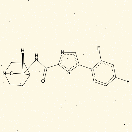 O=C(N[C@H]1CN2CCC1CC2)c1ncc(-c2ccc(F)cc2F)s1